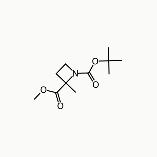 COC(=O)C1(C)CCN1C(=O)OC(C)(C)C